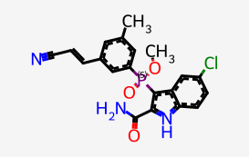 CO[P@@](=O)(c1cc(C)cc(C=CC#N)c1)c1c(C(N)=O)[nH]c2ccc(Cl)cc12